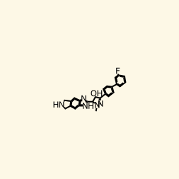 CN1N=C(c2ccc(-c3cccc(F)c3)cc2)C(O)C1c1nc2cc3c(cc2[nH]1)CNC3